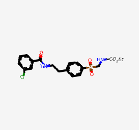 CCOC(=O)NCS(=O)(=O)c1ccc(CCNC(=O)c2cccc(Cl)c2)cc1